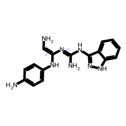 N/C=C(\N=C(/N)Nc1n[nH]c2ccccc12)Nc1ccc(N)cc1